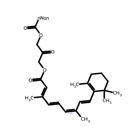 CCCCCCCCCC(=O)OCC(=O)COC(=O)C=C(C)C=C/C=C(/C)C=CC1=C(C)CCCC1(C)C